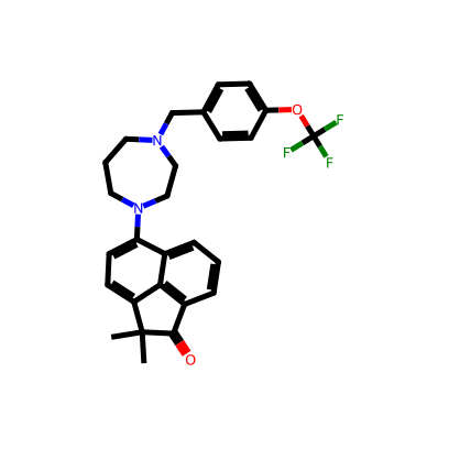 CC1(C)C(=O)c2cccc3c(N4CCCN(Cc5ccc(OC(F)(F)F)cc5)CC4)ccc1c23